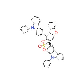 O=S(=O)(Oc1c(-c2ccc3c(c2)c2ccccc2n3-c2ccccc2)cc2oc3ccccc3c2c1-c1ccc2c(c1)c1ccccc1n2-c1ccccc1)C(F)(F)F